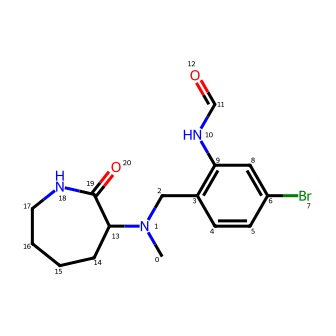 CN(Cc1ccc(Br)cc1NC=O)C1CCCCNC1=O